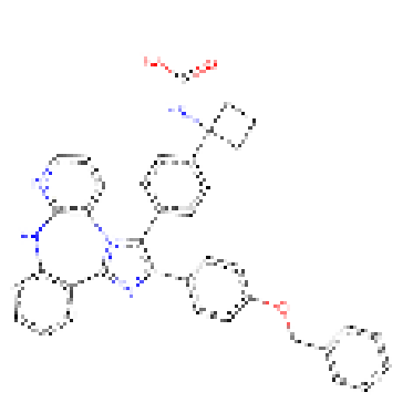 O=C(O)NC1(c2ccc(-c3c(-c4ccc(OCc5ccccc5)cc4)nc4n3-c3cccnc3Nc3ccccc3-4)cc2)CCC1